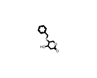 O=C1CC(O)C(SCc2ccccc2)CO1